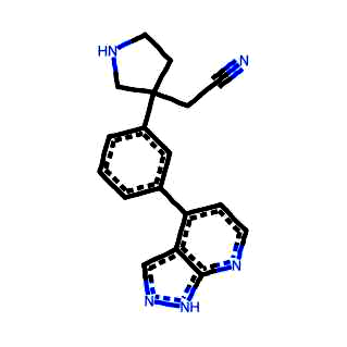 N#CCC1(c2cccc(-c3ccnc4[nH]ncc34)c2)CCNC1